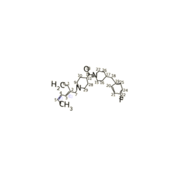 C=C/C(=C\C=C/C)CN1CCC(C(=O)N2CCC(Cc3ccc(F)cc3)CC2)CC1